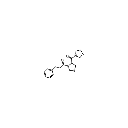 O=C(C1CSCN1C(=O)CCc1ccccc1)N1CCSC1